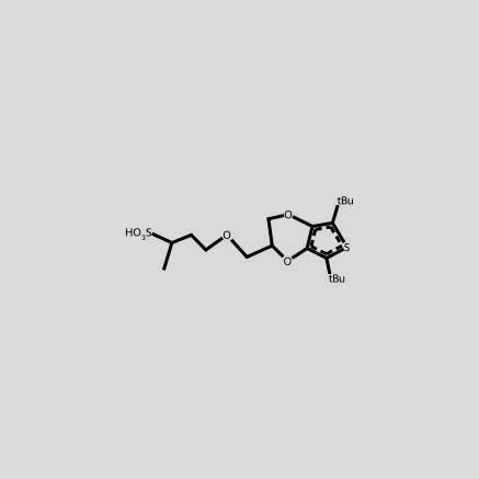 CC(CCOCC1COc2c(C(C)(C)C)sc(C(C)(C)C)c2O1)S(=O)(=O)O